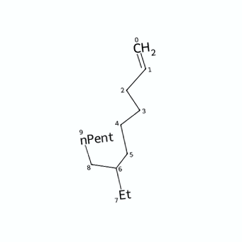 C=CCCCCC(CC)CCCCCC